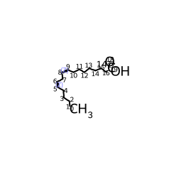 CCCCC/C=C\C/C=C\CCCCCCC[14C](=O)O